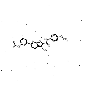 CCCc1c(C(=O)Nc2ccc(OC(F)(F)F)cc2)sc2nc(-c3cccc(OC(F)F)c3)ccc12